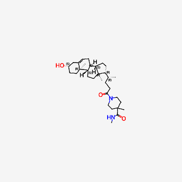 CNC(=O)C1(C)CCN(C(=O)CC[C@@H](C)[C@H]2CC[C@H]3[C@@H]4CC=C5C[C@@H](O)CC[C@]5(C)[C@H]4CC[C@]23C)CC1